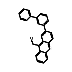 ClCc1c2ccccc2nc2ccc(-c3cccc(-c4ccccc4)c3)cc12